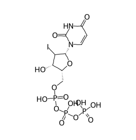 O=c1ccn([C@@H]2O[C@H](COP(=O)(O)OP(=O)(O)OP(=O)(O)O)[C@H](O)C2I)c(=O)[nH]1